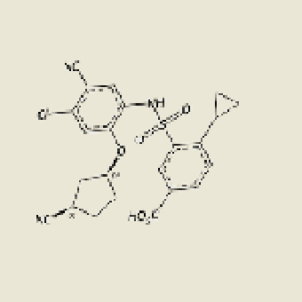 N#Cc1cc(NS(=O)(=O)c2cc(C(=O)O)ccc2C2CC2)c(O[C@H]2CC[C@@H](C#N)C2)cc1Cl